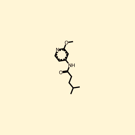 COc1cc(NC(=O)CCC(C)C)ccn1